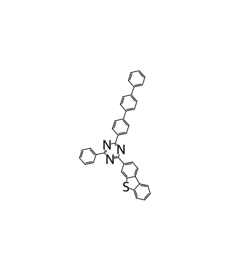 c1ccc(-c2ccc(-c3ccc(-c4nc(-c5ccccc5)nc(-c5ccc6c(c5)sc5ccccc56)n4)cc3)cc2)cc1